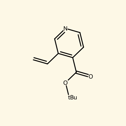 C=Cc1cnccc1C(=O)OC(C)(C)C